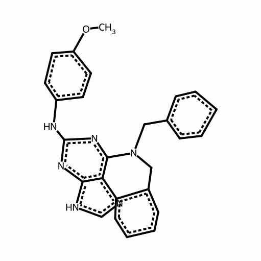 COc1ccc(Nc2nc(N(Cc3ccccc3)Cc3ccccc3)c3nc[nH]c3n2)cc1